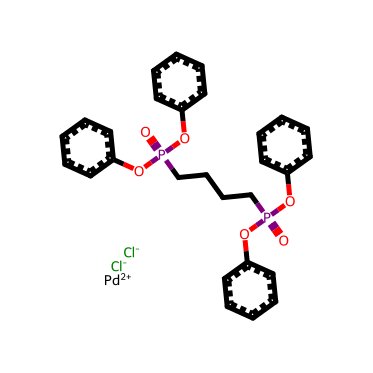 O=P(CCCCP(=O)(Oc1ccccc1)Oc1ccccc1)(Oc1ccccc1)Oc1ccccc1.[Cl-].[Cl-].[Pd+2]